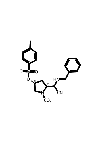 Cc1ccc(S(=O)(=O)O[C@@H]2C[C@@H](C(C#N)NCc3ccccc3)N(C(=O)O)C2)cc1